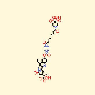 CCc1c2c(nc3ccc(OC(=O)N4CCN(C(=O)CCCCCCC(=O)N5CCC(C(=O)O)(C(=O)O)CC5)CC4)cc13)-c1cc3c(c(=O)n1C2)COC(=O)[C@]3(O)CC